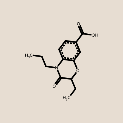 CCCN1C(=O)C(CC)Oc2cc(C(=O)O)ccc21